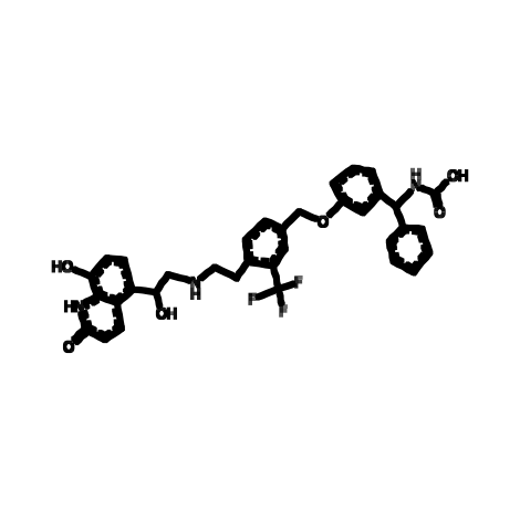 O=C(O)NC(c1ccccc1)c1cccc(OCc2ccc(CCNCC(O)c3ccc(O)c4[nH]c(=O)ccc34)c(C(F)(F)F)c2)c1